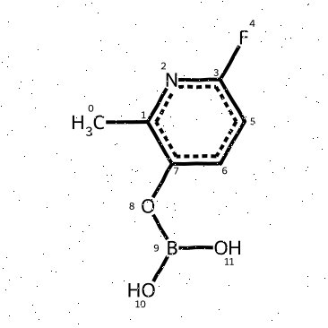 Cc1nc(F)ccc1OB(O)O